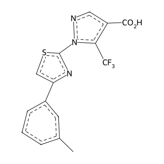 Cc1cccc(-c2csc(-n3ncc(C(=O)O)c3C(F)(F)F)n2)c1